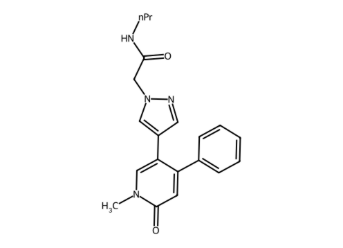 CCCNC(=O)Cn1cc(-c2cn(C)c(=O)cc2-c2ccccc2)cn1